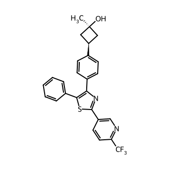 C[C@]1(O)C[C@@H](c2ccc(-c3nc(-c4ccc(C(F)(F)F)nc4)sc3-c3ccccc3)cc2)C1